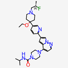 CCOC1(c2ccc(-c3cc4c(N5CCN(C(=O)NC(C)C)CC5)ccnn4c3)nc2)CCN(C[C@@H](C)F)CC1